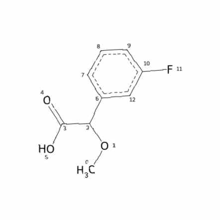 COC(C(=O)O)c1cccc(F)c1